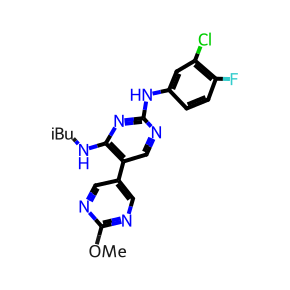 CCC(C)Nc1nc(Nc2ccc(F)c(Cl)c2)ncc1-c1cnc(OC)nc1